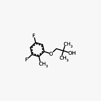 Cc1c(F)cc(F)cc1OCC(C)(C)O